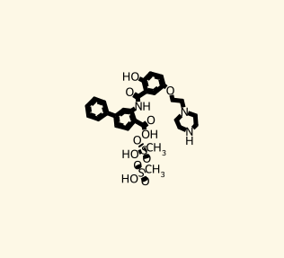 CS(=O)(=O)O.CS(=O)(=O)O.O=C(Nc1cc(-c2ccccc2)ccc1C(=O)O)c1cc(OCCN2CCNCC2)ccc1O